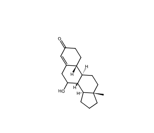 C[C@@]12CCC[C@H]1[C@@H]1C(O)CC3=CC(=O)CC[C@@H]3[C@H]1CC2